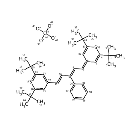 CC(C)(C)C1=CC(=C/C=C(/C=C/c2cc(C(C)(C)C)[s+]c(C(C)(C)C)c2)c2ccccc2)C=C(C(C)(C)C)S1.[O-][Cl+3]([O-])([O-])[O-]